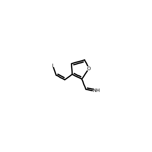 N=Cc1occc1/C=C\I